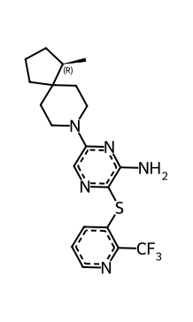 C[C@@H]1CCCC12CCN(c1cnc(Sc3cccnc3C(F)(F)F)c(N)n1)CC2